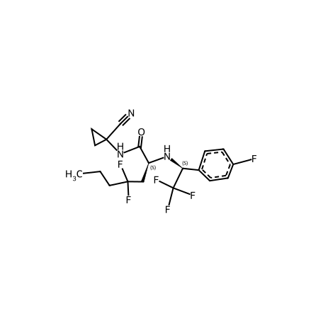 CCCC(F)(F)C[C@H](N[C@@H](c1ccc(F)cc1)C(F)(F)F)C(=O)NC1(C#N)CC1